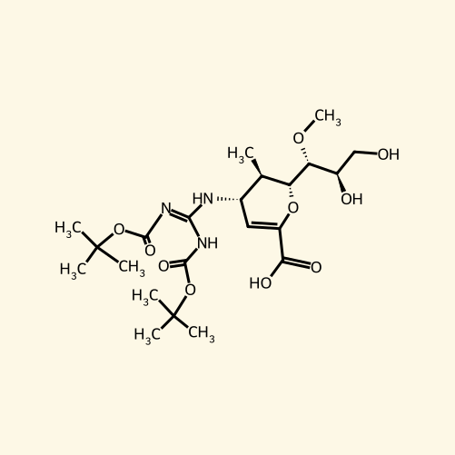 CO[C@@H]([C@@H]1OC(C(=O)O)=C[C@H](N/C(=N/C(=O)OC(C)(C)C)NC(=O)OC(C)(C)C)[C@H]1C)[C@H](O)CO